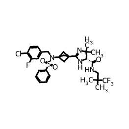 CC1(C)N=C(C23CC(N(Cc4ccc(Cl)c(F)c4)S(=O)(=O)c4ccccc4)(C2)C3)N[C@H]1C(=O)NCC(C)(C)C(F)(F)F